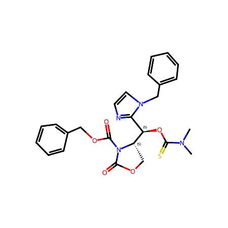 CN(C)C(=S)O[C@H](c1nccn1Cc1ccccc1)[C@@H]1COC(=O)N1C(=O)OCc1ccccc1